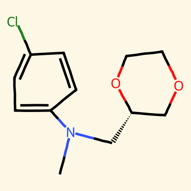 CN(C[C@H]1COCCO1)c1ccc(Cl)cc1